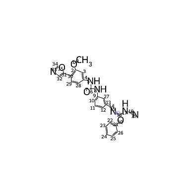 COc1cc(NC(=O)Nc2cccc(C/N=C(\NC#N)Oc3ccccc3)c2)ccc1-c1cnco1